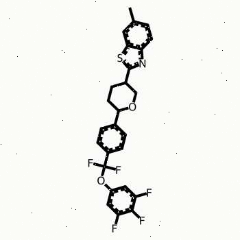 Cc1ccc2nc(C3CCC(c4ccc(C(F)(F)Oc5cc(F)c(F)c(F)c5)cc4)OC3)sc2c1